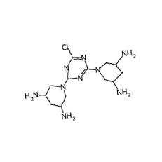 NC1CC(N)CN(c2nc(Cl)nc(N3CC(N)CC(N)C3)n2)C1